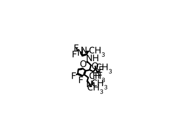 Cc1nn(C(F)F)cc1NC(=O)C1OC(C)(C(F)(F)F)C(C)C1c1ccc(F)c(F)c1CCN(C)C